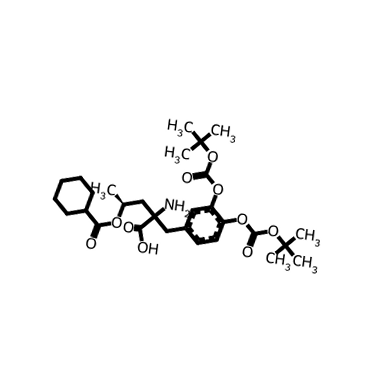 C[C@@H](CC(N)(Cc1ccc(OC(=O)OC(C)(C)C)c(OC(=O)OC(C)(C)C)c1)C(=O)O)OC(=O)C1CCCCC1